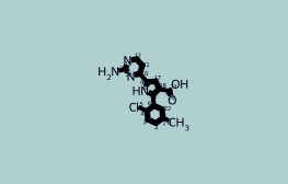 Cc1ccc(Cl)c(-c2[nH]c(-c3ccnc(N)n3)cc2C(=O)O)c1